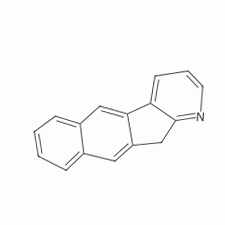 c1cnc2c(c1)-c1cc3ccccc3cc1C2